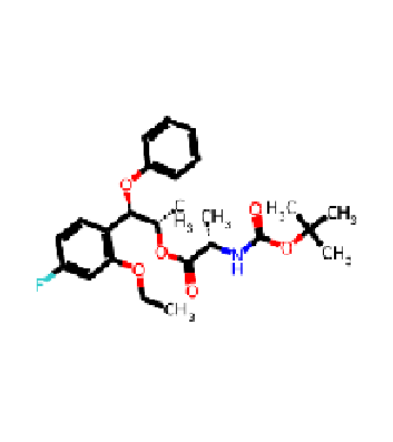 CCOc1cc(F)ccc1[C@@H](Oc1ccccc1)[C@H](C)OC(=O)[C@H](C)NC(=O)OC(C)(C)C